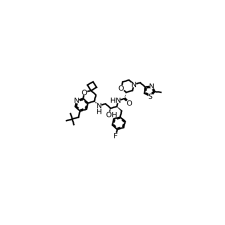 Cc1nc(CN2CCO[C@@H](C(=O)N[C@@H](Cc3ccc(F)cc3)[C@@H](O)CN[C@H]3CC4(CCC4)Oc4ncc(CC(C)(C)C)cc43)C2)cs1